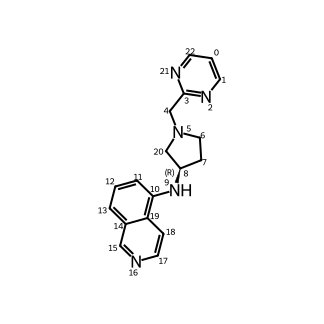 c1cnc(CN2CC[C@@H](Nc3cccc4cnccc34)C2)nc1